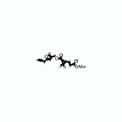 C#CCc1cc(COC(=O)C2C(C=CC(=O)OC)C2(C)C)co1